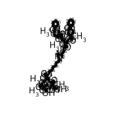 CC(CO)(CO)C(=O)OCC(C)(COC(=O)C(C)(CO)CO)C(=O)OCCCCCCn1cc(COC(=O)C(C)(COC(=O)C2(C)COC(C)(c3ccccc3)OC2)COC(=O)C2(C)COC(C)(c3ccccc3)OC2)nn1